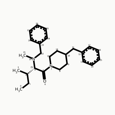 CCC(C)[C@@H](C(=O)N1CCC(Cc2ccccc2)CC1)N(C)Cc1ccccc1